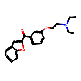 CCN(CC)CCOc1cccc(C(=O)c2cc3ccccc3o2)c1